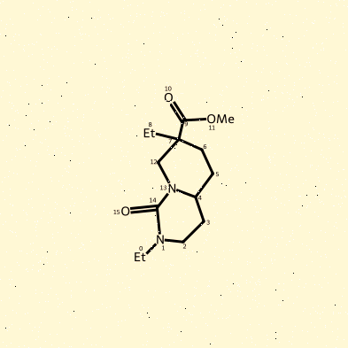 CCN1CCC2CCC(CC)(C(=O)OC)CN2C1=O